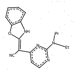 CCN(c1nccc(C(C#N)=C2Nc3ccccc3O2)n1)C(C)C